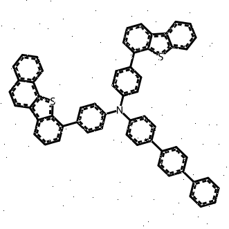 c1ccc(-c2ccc(-c3ccc(N(c4ccc(-c5cccc6c5sc5ccccc56)cc4)c4ccc(-c5cccc6c5sc5c7ccccc7ccc65)cc4)cc3)cc2)cc1